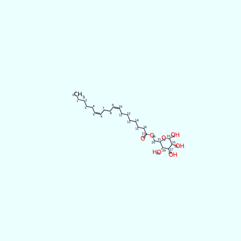 CCCCC/C=C\CC/C=C\CCCCCCC(=O)OCC1OC(O)[C@@H](O)C(O)C1O